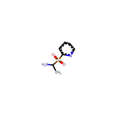 CC(N)S(=O)(=O)c1ccccn1